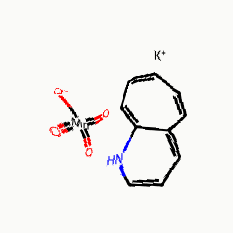 C1=CC=C2NC=CC=C2C=C1.[K+].[O]=[Mn](=[O])(=[O])[O-]